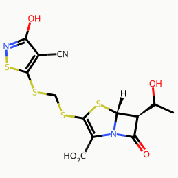 CC(O)[C@H]1C(=O)N2C(C(=O)O)=C(SCSc3snc(O)c3C#N)S[C@H]12